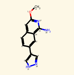 COc1cc2ccc(-c3cn[nH]c3)cc2c(N)n1